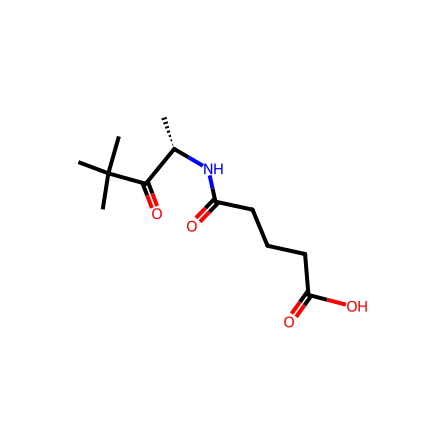 C[C@H](NC(=O)CCCC(=O)O)C(=O)C(C)(C)C